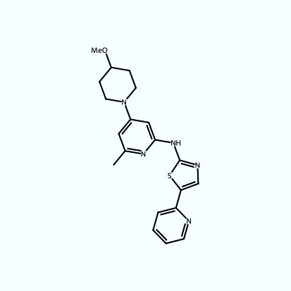 COC1CCN(c2cc(C)nc(Nc3ncc(-c4ccccn4)s3)c2)CC1